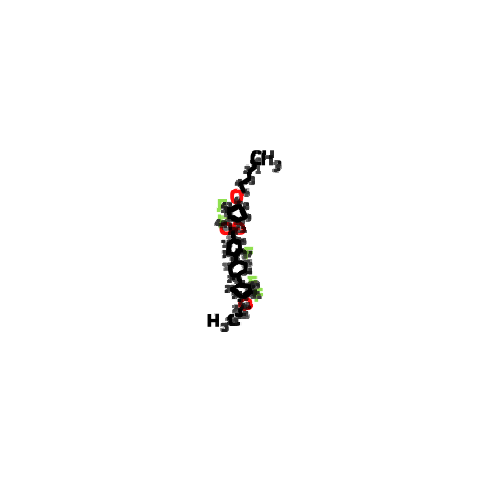 CCCCCCOc1ccc(OC(=O)c2ccc(C3CCC(c4ccc(OCCC)c(F)c4F)CC3)c(F)c2)c(F)c1F